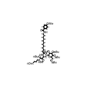 CCCCCCCCCCCCCC[C@@H](OCCCC)[C@@H](OCCCC)[C@H](CO[C@H]1OC(COCCCC)[C@H](OCCCC)[C@H](OCCCC)C1OCCCC)NC(=O)CCCCCCCCCCCNC(=O)c1ccc(OC)cc1